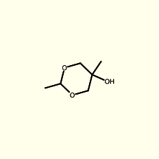 CC1OCC(C)(O)CO1